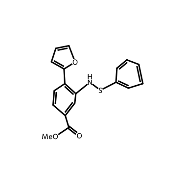 COC(=O)c1ccc(-c2ccco2)c(NSc2ccccc2)c1